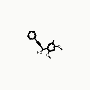 COc1cc(OC)c(C(O)C#Cc2ccccc2)cc1C